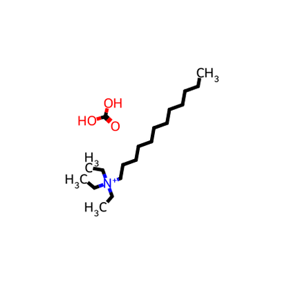 CCCCCCCCCCCC[N+](CC)(CC)CC.O=C(O)O